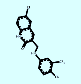 N#Cc1ccc(NCc2cc3cc(Cl)ccc3[nH]c2=O)cc1C(F)(F)F